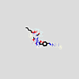 CCCCCC(=O)N[C@H](CN(C(C)=O)N1C(=O)N(C)[C@](C)(c2ccc(C=NN)cc2)C1=O)C(=O)O